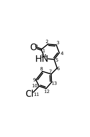 O=c1cccc(Cc2ccc(Cl)cc2)[nH]1